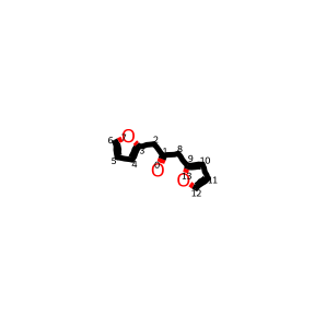 O=C(Cc1ccco1)Cc1ccco1